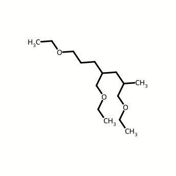 CCOCCCC(COCC)CC(C)COCC